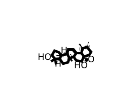 C[C@@H]1CC[C@]2(C(=O)O)CC[C@]3(C)C(=CC[C@@H]4[C@@]5(C)CCC(O)C(C)(C)[C@@H]5CC[C@]43C)C2[C@H]1C